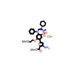 COCCOc1cc2c(cc1-c1cc(N)c(C(=O)OC)s1)S(=O)(=O)N(C)[C@H](C1CCCCC1)CN2c1ccccc1.Cl